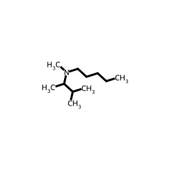 CCCCCN(C)C(C)C(C)C